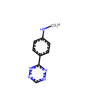 O=C(O)Nc1ccc(-c2nncnn2)cc1